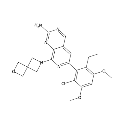 CCc1c(OC)cc(OC)c(Cl)c1-c1cc2cnc(N)nc2c(N2CC3(COC3)C2)n1